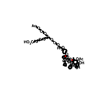 CC(=O)CCOCCOCCOCCN(CCOCCOCCOCCNC(=O)[C@]1(C)CC/C=C/[C@H](OC(=O)O[C@@H](C(=O)O[C@H]2C[C@@]3(O)[C@@H](OC(=O)c4ccccc4)[C@@H]4[C@]5(OC(C)=O)CO[C@@H]5C[C@H](O)[C@@]4(C)C(=O)[C@H](OC(C)=O)C(=C2C)C3(C)C)[C@@H](NC(=O)c2ccccc2)c2ccccc2)CC1)CCOCCOCCOCCC(=O)O